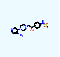 CS(=O)(=O)Nc1ccc(C(O)CN2CCN(c3cnccc3N)CC2)cc1